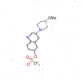 COC1CCN(c2cnc3ccc(OS(=O)(=O)C(F)(F)F)cc3c2)CC1